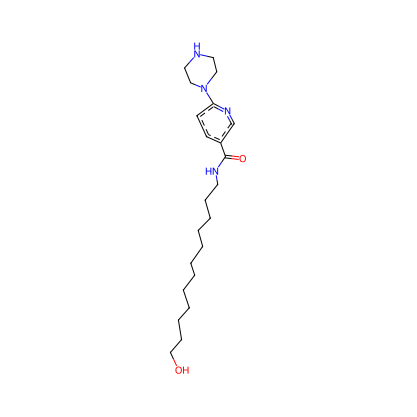 O=C(NCCCCCCCCCCCCO)c1ccc(N2CCNCC2)nc1